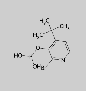 CC(C)(C)c1ccnc(Br)c1OP(O)O